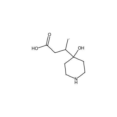 [CH2]C(CC(=O)O)C1(O)CCNCC1